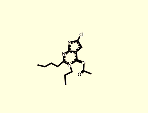 CCCCc1nc2sc(Cl)cc2c(=NC(C)=O)n1CCC